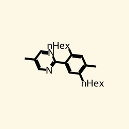 CCCCCCc1cc(-c2ncc(C)cn2)c(CCCCCC)cc1C